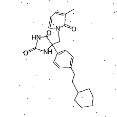 Cc1cccn(CC2(c3ccc(CCC4CCCCC4)cc3)NC(=O)NC2=O)c1=O